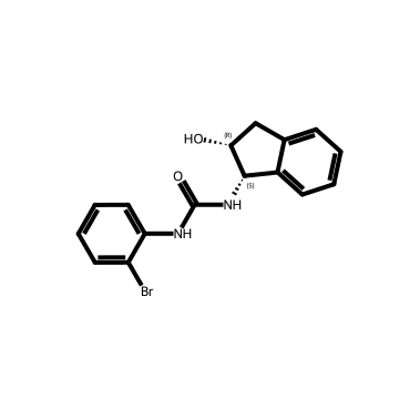 O=C(Nc1ccccc1Br)N[C@H]1c2ccccc2C[C@H]1O